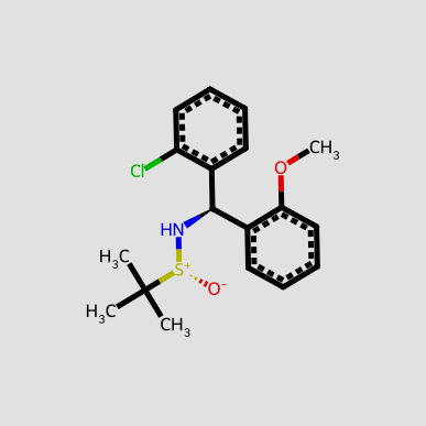 COc1ccccc1[C@@H](N[S@+]([O-])C(C)(C)C)c1ccccc1Cl